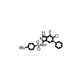 CC(C)(C)c1ccc(S(=O)(=O)Nc2n[nH]c3c(F)c(Cl)c(-c4ccccc4)cc23)cc1